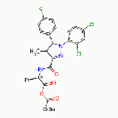 CC(C)COC(=O)OC(=O)[C@H](NC(=O)C1=NN(c2ccc(Cl)cc2Cl)C(c2ccc(Cl)cc2)C1C)C(C)C